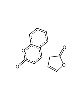 O=C1CC=CO1.O=c1ccc2ccccc2o1